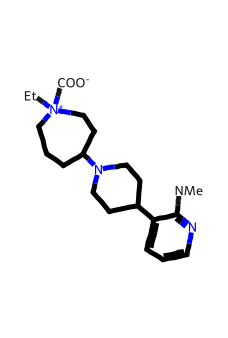 CC[N+]1(C(=O)[O-])CCCC(N2CCC(c3cccnc3NC)CC2)CC1